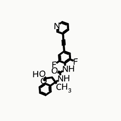 CC(CC(=O)O)(NC(=O)Nc1c(F)cc(C#Cc2cccnc2)cc1F)c1ccccc1